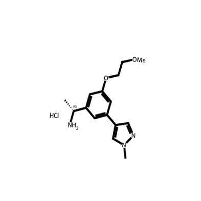 COCCOc1cc(-c2cnn(C)c2)cc([C@@H](C)N)c1.Cl